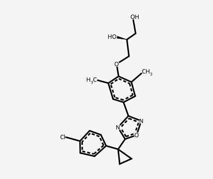 Cc1cc(-c2noc(C3(c4ccc(Cl)cc4)CC3)n2)cc(C)c1OC[C@@H](O)CO